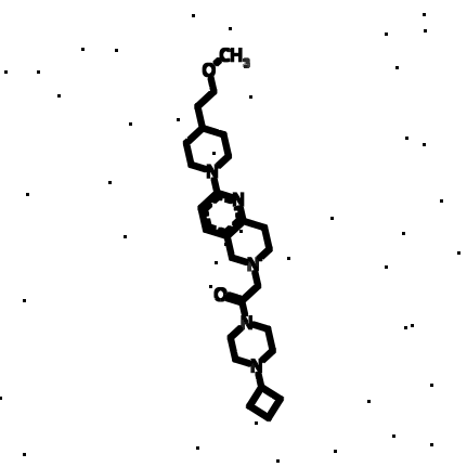 COCCC1CCN(c2ccc3c(n2)CCN(CC(=O)N2CCN(C4CCC4)CC2)C3)CC1